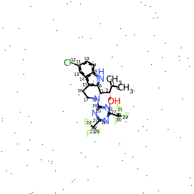 CC(C)[C@H](O)[C@H]1c2[nH]c3ccc(Cl)cc3c2CCN1c1nc(C(F)(F)F)nc(C(F)(F)F)n1